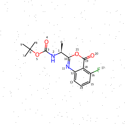 C[C@H](NC(=O)OC(C)(C)C)c1nc2cccc(F)c2c(=O)o1